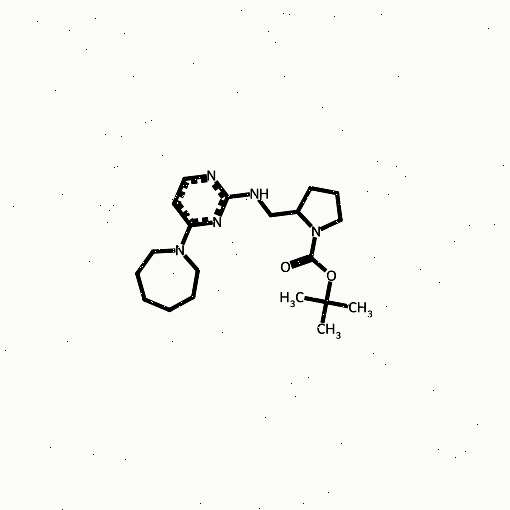 CC(C)(C)OC(=O)N1CCCC1CNc1nccc(N2CCCCCC2)n1